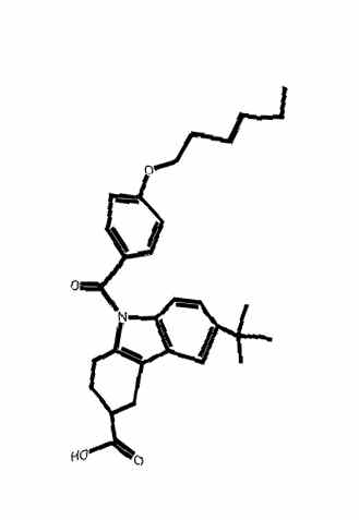 CCCCCCOc1ccc(C(=O)n2c3c(c4cc(C(C)(C)C)ccc42)CC(C(=O)O)CC3)cc1